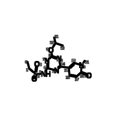 CCS(=O)(=O)Nc1nc(OC(C)C)nc(-c2ccc(=O)n(C)c2)n1